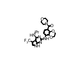 CC(C)Nc1nc(Nc2ccc(C(=O)N3CCOCC3)c3c2OCCO3)nc2[nH]cc(C(F)(F)F)c12